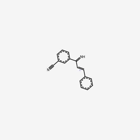 N#Cc1cccc(C(=N)/C=C/c2ccccc2)c1